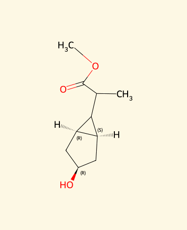 COC(=O)C(C)C1[C@H]2C[C@@H](O)C[C@@H]12